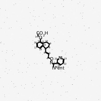 CCCCCC(=NOCC=CC1CCCc2c(OCC(=O)O)cccc21)c1cccnc1